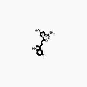 NC(=O)[C@@H]1C[C@@H](O)CN1C(=O)CCc1c[nH]c2ccc(Cl)cc12